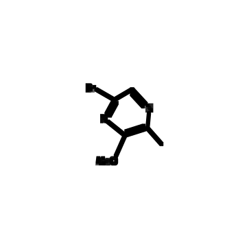 COc1nc(Br)cnc1C